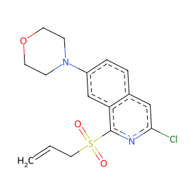 C=CCS(=O)(=O)c1nc(Cl)cc2ccc(N3CCOCC3)cc12